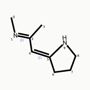 C/N=C(C)/C=C1/CCCN1